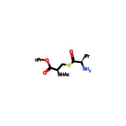 CCCOC(=O)[C@H](CSC(=O)[C@@H](N)C(C)C)NC(C)=O